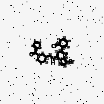 O=C(c1cccs1)N1CCCC(CNc2cc(-c3ccccc3Cl)nc3c(Br)cnn23)C1